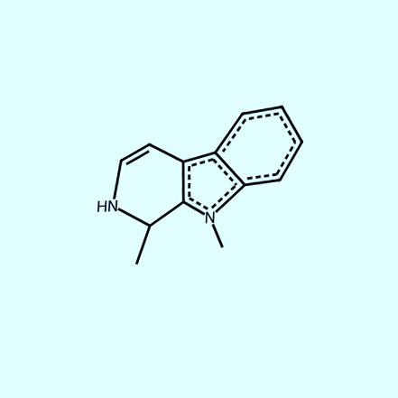 CC1NC=Cc2c1n(C)c1ccccc21